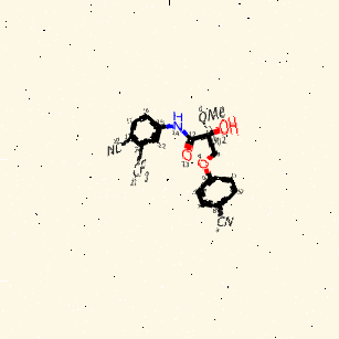 CO[C@](O)(COc1ccc(C#N)cc1)C(=O)Nc1ccc(C#N)c(C(F)(F)F)c1